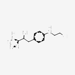 NC(Cc1ccc(NCCCl)cc1)c1nnn[nH]1